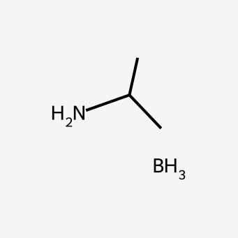 B.CC(C)N